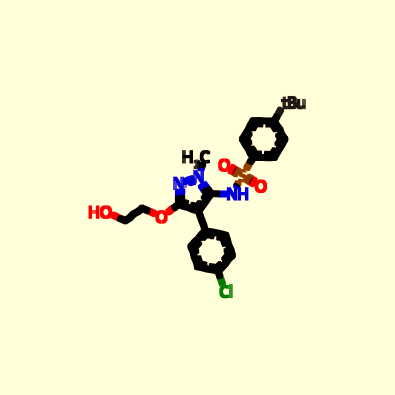 Cn1nc(OCCO)c(-c2ccc(Cl)cc2)c1NS(=O)(=O)c1ccc(C(C)(C)C)cc1